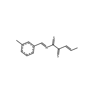 C/C=C/C(=S)C(=S)/N=C/c1cccc(C)c1